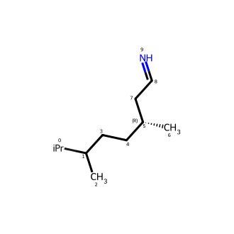 CC(C)C(C)CC[C@@H](C)CC=N